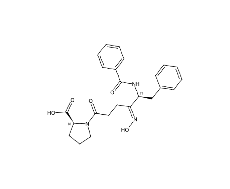 O=C(N[C@@H](Cc1ccccc1)C(CCC(=O)N1CCC[C@H]1C(=O)O)=NO)c1ccccc1